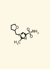 Cc1nc(S(N)(=O)=O)cn1CC1CCCO1